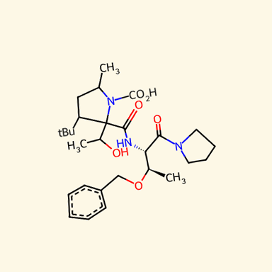 CC1CC(C(C)(C)C)C(C(=O)N[C@H](C(=O)N2CCCC2)[C@@H](C)OCc2ccccc2)(C(C)O)N1C(=O)O